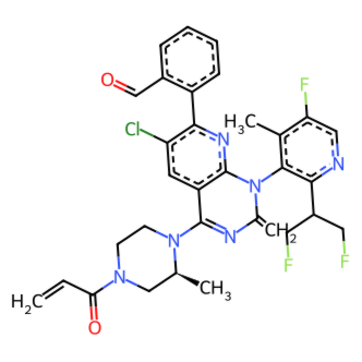 C=CC(=O)N1CCN(C2=NC(=C)N(c3c(C(CF)CF)ncc(F)c3C)c3nc(-c4ccccc4C=O)c(Cl)cc32)[C@@H](C)C1